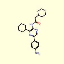 Nc1ccc(-c2cnc(NC(=O)CC3CCCCC3)c(C3CCCCC3)n2)cc1